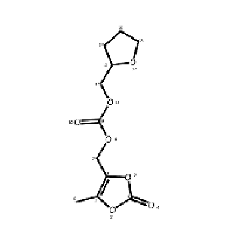 Cc1oc(=O)oc1COC(=O)OCC1CCCO1